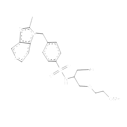 COCCOCC(CC(C)C)NS(=O)(=O)c1ccc(Cn2c(C)nc3cnccc32)cc1